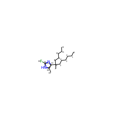 CCCCCCC(C)(CCCCC)c1nc(F)[nH]c1C